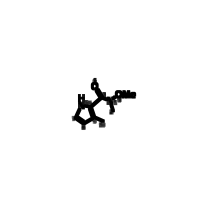 CON(C)C(=O)c1[nH]ccc1C